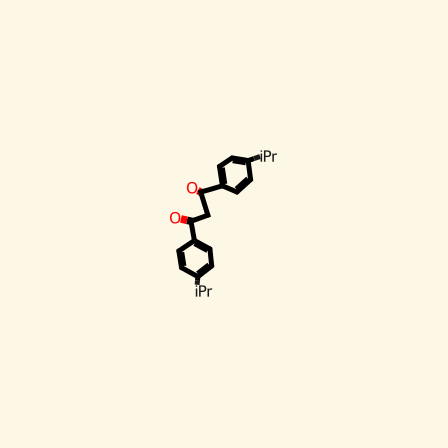 CC(C)c1ccc(C(=O)CC(=O)c2ccc(C(C)C)cc2)cc1